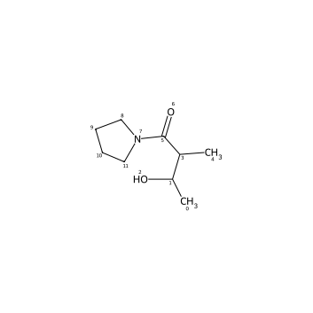 CC(O)C(C)C(=O)N1CCCC1